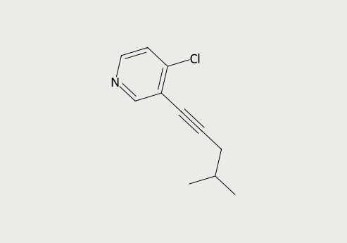 CC(C)CC#Cc1cnccc1Cl